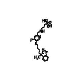 CC(C)(CCCCSc1cnc(CNCCCP(=O)(O)O)cc1F)c1ccccc1F